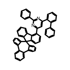 c1ccc(-c2nc(-c3ccccc3-c3ccccc3)cc(-c3cccc4c3-c3ccccc3C43c4ccccc4-c4ccccc4-c4ccccc43)n2)cc1